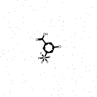 O=C(O)c1cc(Cl)cc(S(F)(F)(F)(F)F)c1